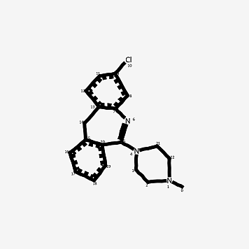 CN1CCN(C2=Nc3cc(Cl)ccc3Cc3ccccc32)CC1